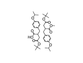 CC(C)Oc1ccc(CC(CC(=O)OC(C)(C)C)C(=O)O)cc1.COC(=O)C(CC(=O)OC(C)(C)C)Cc1ccc(OC(C)C)cc1